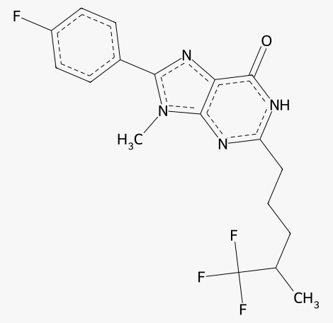 CC(CCCc1nc2c(nc(-c3ccc(F)cc3)n2C)c(=O)[nH]1)C(F)(F)F